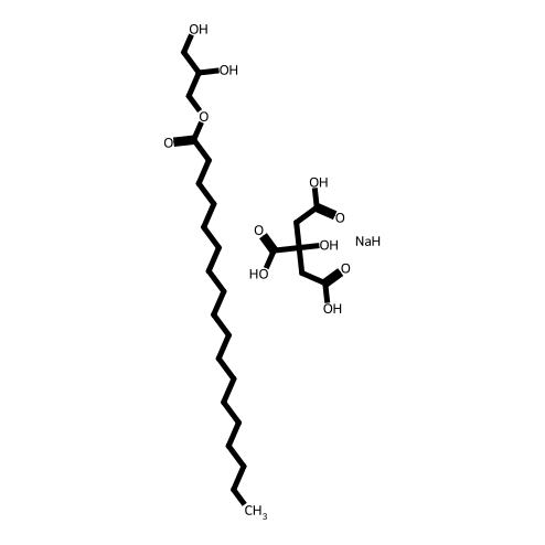 CCCCCCCCCCCCCCCCCC(=O)OCC(O)CO.O=C(O)CC(O)(CC(=O)O)C(=O)O.[NaH]